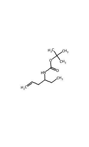 C=CCC(CC)NC(=O)OC(C)(C)C